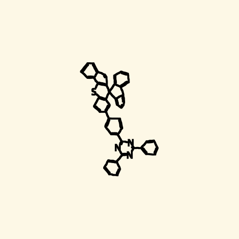 c1ccc(-c2nc(-c3ccccc3)nc(-c3ccc(-c4ccc5c(c4)C4(c6ccccc6-c6ccccc64)c4ccc6ccccc6c4S5)cc3)n2)cc1